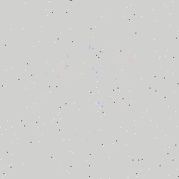 C[C@H]1CC[C@]2(COC(F)(F)O2)[C@H]2CN1C(=O)c1c(O)c(=O)c(C(=O)NCc3c(F)cc(F)cc3F)cn12